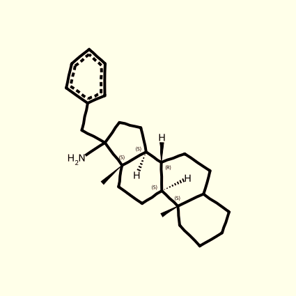 C[C@]12CCCCC1CC[C@@H]1[C@@H]2CC[C@@]2(C)[C@H]1CCC2(N)Cc1ccccc1